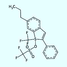 CCCc1ccc2c(c1)S(OS(=O)(=O)C(F)(F)F)(C(F)(F)F)C(c1ccccc1)=C2